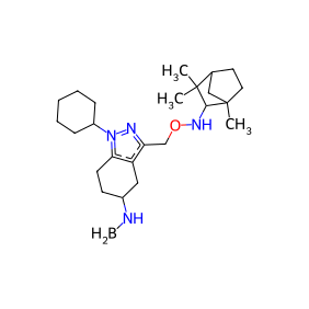 BNC1CCc2c(c(CONC3C4(C)CCC(C4)C3(C)C)nn2C2CCCCC2)C1